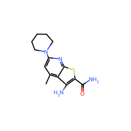 Cc1cc(N2CCCCC2)nc2sc(C(N)=O)c(N)c12